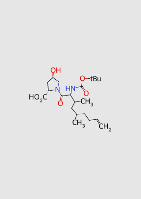 C=CCCC(C)CC(C)C(NC(=O)OC(C)(C)C)C(=O)N1C[C@H](O)C[C@H]1C(=O)O